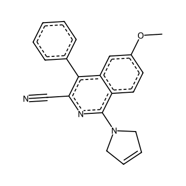 COc1ccc2c(N3CC=CC3)nc(C#N)c(-c3ccccc3)c2c1